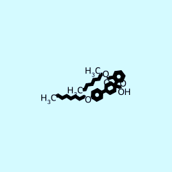 CCCCCCCCOc1ccc(C2C=CC(C(=O)O)(c3ccccc3C(=O)OC(C)CCCCCC)C=C2)cc1